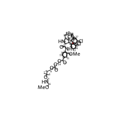 COCNCOC(C)(C)CCOC(=O)OCOC(=O)c1ccc(NC(=O)[C@@H]2NC(CC(C)(C)C)[C@](C#N)(c3ccc(Cl)cc3F)C2c2cccc(Cl)c2F)c(OC)c1